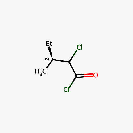 CC[C@H](C)C(Cl)C(=O)Cl